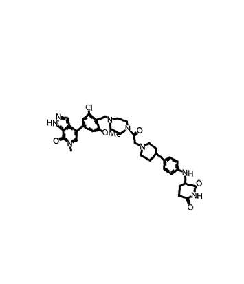 COc1cc(-c2cn(C)c(=O)c3[nH]ncc23)cc(Cl)c1CN1CCN(C(=O)CN2CCC(c3ccc(NC4CCC(=O)NC4=O)cc3)CC2)CC1